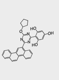 Oc1cc(O)c(-c2nc(OC3CCCC3)nc(-c3cc4c5ccccc5ccc4c4ccccc34)n2)c(O)c1